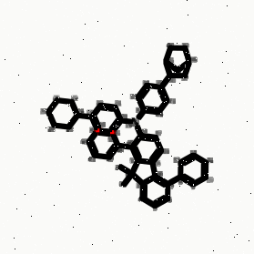 CC1(C)c2cccc(-c3ccccc3)c2-c2ccc(N(c3ccc(C4CCCCC4)cc3)c3ccc(C4CC5CCC4C5)cc3)c(-c3ccccc3)c21